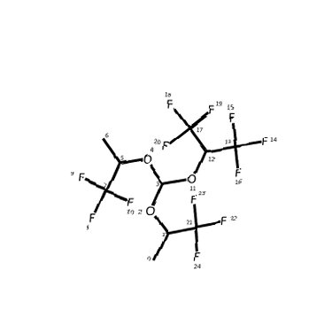 CC(OC(OC(C)C(F)(F)F)OC(C(F)(F)F)C(F)(F)F)C(F)(F)F